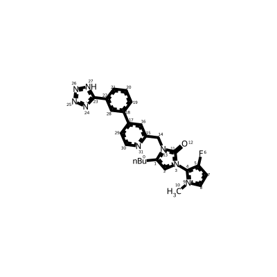 CCCCc1cn(-c2c(F)ccn2C)c(=O)n1Cc1cc(-c2cccc(-c3nnn[nH]3)c2)ccn1